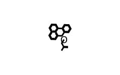 C=C(C)COC1c2ccccc2-c2cccc3cccc1c23